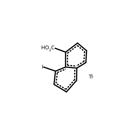 O=C(O)c1cccc2cccc(I)c12.[Tl]